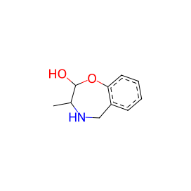 CC1NCc2ccccc2OC1O